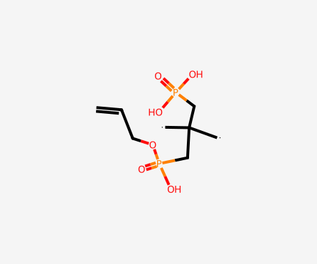 [CH2]C([CH2])(CP(=O)(O)O)CP(=O)(O)OCC=C